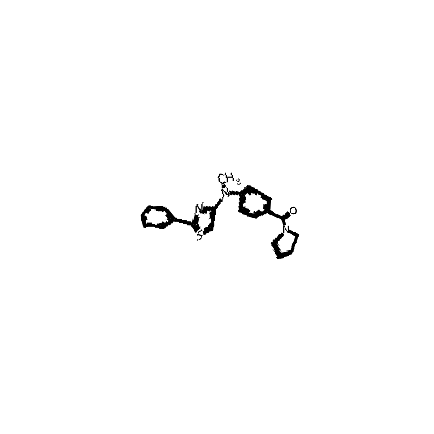 CN(c1ccc(C(=O)N2CCCC2)cc1)c1csc(-c2ccccc2)n1